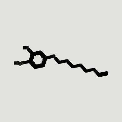 C=CCCCCCCOc1ccc(C(=O)O)c(O)c1